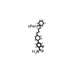 CCCCCC1(CCCCC2CCC(c3ccc(C(N)=O)c(F)c3)CC2)CCCCC1